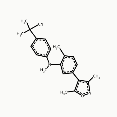 Cc1ccc(-c2c(C)noc2C)cc1N(C)c1ccc(C(C)(C)C#N)cc1